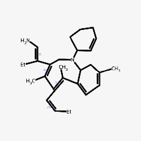 CC\C=C/C1=C(/C)C2=CC=C(C)CC2N(C2C=CCCC2)CC(/C(=C/N)CC)=C\1C